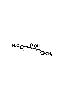 Cc1csc(C=CC(=O)C=C(O)C=Cc2cc(C)cs2)c1